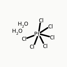 O.O.[Cl][Pt]([Cl])([Cl])([Cl])([Cl])[Cl]